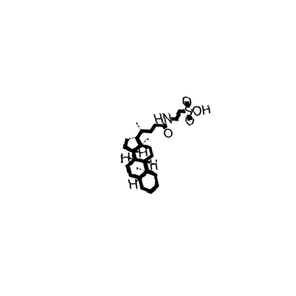 C[C@H](CCC(=O)NCCS(=O)(=O)O)[C@H]1CC[C@H]2[C@@H]3CC[C@@H]4CCCC[C@]4(C)[C@H]3CC[C@]12C